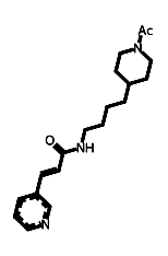 CC(=O)N1CCC(CCCCNC(=O)C=Cc2cccnc2)CC1